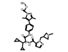 Cc1nn(C(=O)OC(C)(C)C)c(C)c1-c1ccc(NC(=O)[C@@H](NC(=O)c2ccnn2CC2CN(C)C2)C(C2CC2)C2CC2)cc1